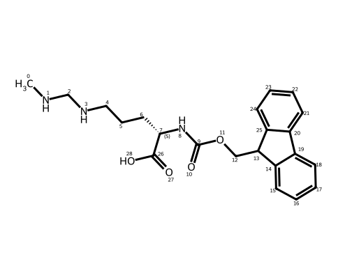 CNCNCCC[C@H](NC(=O)OCC1c2ccccc2-c2ccccc21)C(=O)O